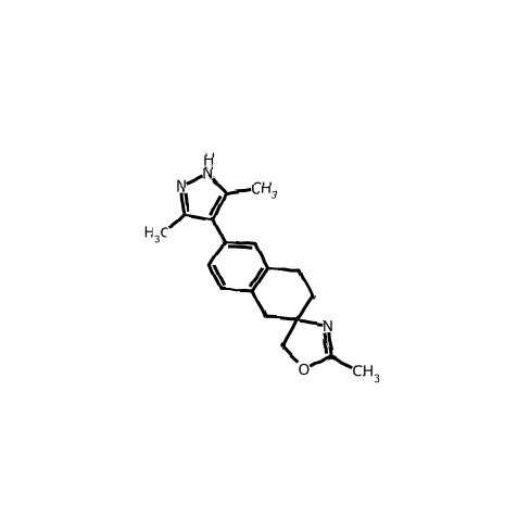 CC1=NC2(CCc3cc(-c4c(C)n[nH]c4C)ccc3C2)CO1